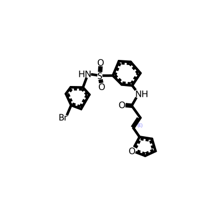 O=C(/C=C/c1ccco1)Nc1cccc(S(=O)(=O)Nc2ccc(Br)cc2)c1